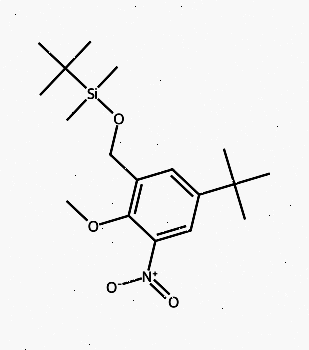 COc1c(CO[Si](C)(C)C(C)(C)C)cc(C(C)(C)C)cc1[N+](=O)[O-]